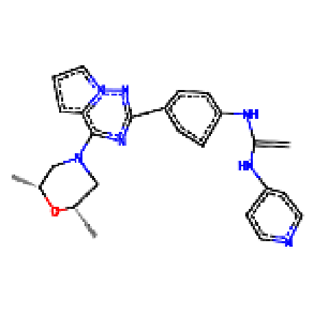 C=C(Nc1ccncc1)Nc1ccc(-c2nc(N3C[C@@H](C)O[C@@H](C)C3)c3cccn3n2)cc1